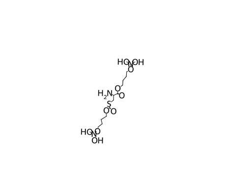 NC(CSC(=O)OCCCCON(O)O)C(=O)OCCCCON(O)O